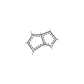 c1cc2ncsc2o1